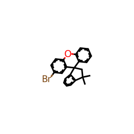 CC1(C)CC2(c3ccccc3Oc3ccc(Br)cc32)c2ccccc21